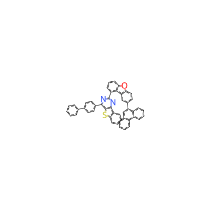 c1ccc(-c2ccc(-c3nc(-c4cccc5oc6ccc(-c7cc8ccccc8c8ccccc78)cc6c45)nc4c3sc3ccccc34)cc2)cc1